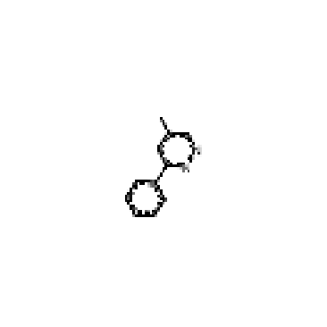 Ic1cnnc(-c2ccccc2)c1